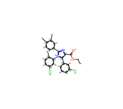 CCOC(=O)c1nc(-c2ccc(C)c(C)c2)n(-c2cc(Cl)ccc2C)c1-c1cccc(Cl)c1